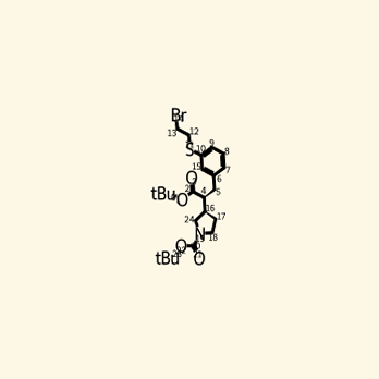 CC(C)(C)OC(=O)[C@@H](Cc1cccc(SCCBr)c1)[C@H]1CCN(C(=O)OC(C)(C)C)C1